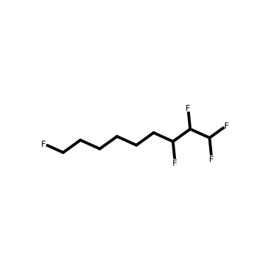 FCCCCCCC(F)C(F)C(F)F